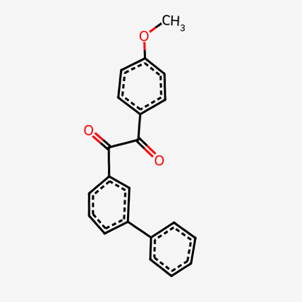 COc1ccc(C(=O)C(=O)c2cccc(-c3ccccc3)c2)cc1